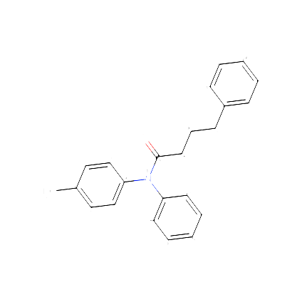 [CH2]c1ccc(N(C(=O)CCCc2ccccc2)c2ccccc2)cc1